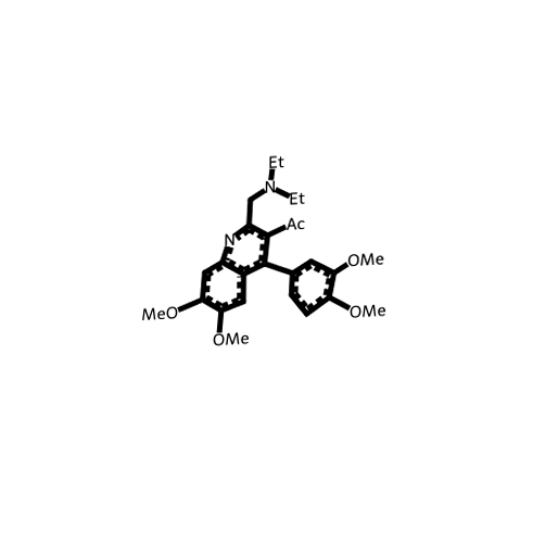 CCN(CC)Cc1nc2cc(OC)c(OC)cc2c(-c2ccc(OC)c(OC)c2)c1C(C)=O